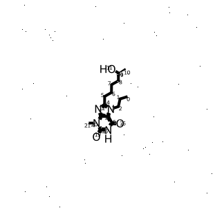 CCCn1c(CCCC[C@H](C)O)nc2c1c(=O)[nH]c(=O)n2C